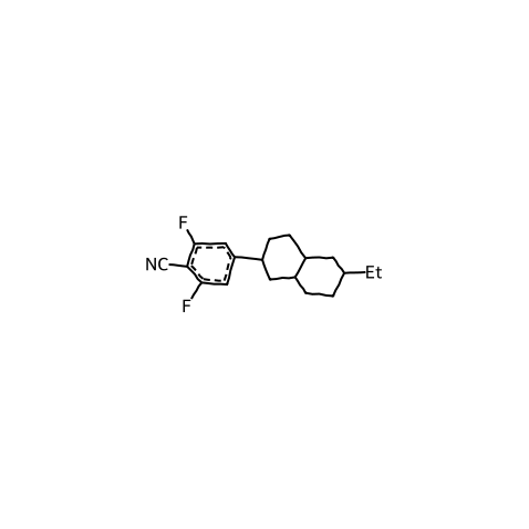 CCC1CCC2CC(c3cc(F)c(C#N)c(F)c3)CCC2C1